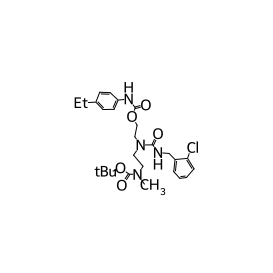 CCc1ccc(NC(=O)OCCN(CCN(C)C(=O)OC(C)(C)C)C(=O)NCc2ccccc2Cl)cc1